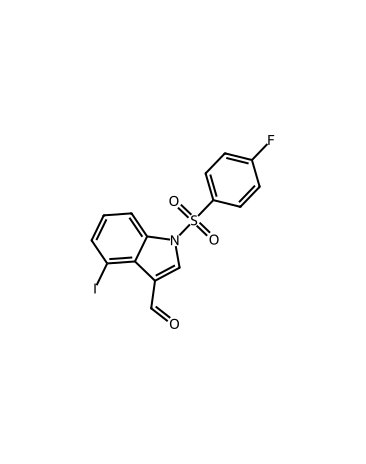 O=Cc1cn(S(=O)(=O)c2ccc(F)cc2)c2cccc(I)c12